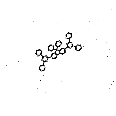 c1ccc(C2(c3ccccc3)c3cc(-c4nc(-c5ccccn5)nc(-c5ccccn5)n4)ccc3-c3ccc(-c4nc(-c5ccccn5)nc(-c5ccccn5)n4)cc32)cc1